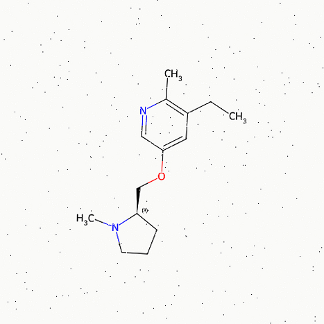 CCc1cc(OC[C@H]2CCCN2C)cnc1C